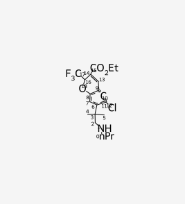 CCCNCC(C)(C)c1cc2c(cc1Cl)C=C(C(=O)OCC)C(C(F)(F)F)O2